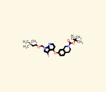 CC(C)(C)OC(=O)N1CCc2ccc(Oc3ccnc4c3c(I)cn4COCC[Si](C)(C)C)cc2C1